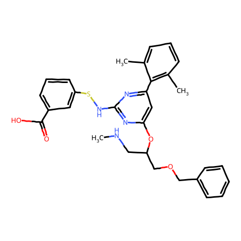 CNCC(COCc1ccccc1)Oc1cc(-c2c(C)cccc2C)nc(NSc2cccc(C(=O)O)c2)n1